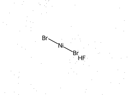 F.[Br][Ni][Br]